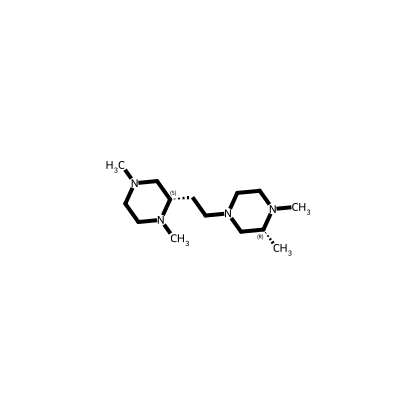 C[C@@H]1CN(CC[C@H]2CN(C)CCN2C)CCN1C